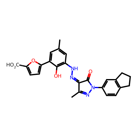 CC1=NN(c2ccc3c(c2)CCC3)C(=O)/C1=N\Nc1cc(C)cc(-c2ccc(C(=O)O)o2)c1O